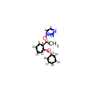 CC(On1ccnn1)c1ccccc1Oc1ccccc1